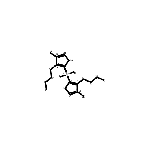 CCCCC1=[C]([Zr]([CH3])([CH3])[C]2=C(CCCC)C(C)=CC2)CC=C1C